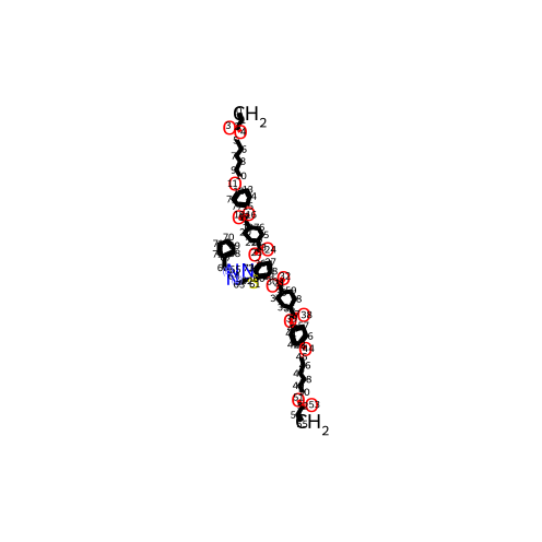 C=CC(=O)OCCCCCCOc1ccc(OC(=O)C2CCC(C(=O)Oc3ccc(OC(=O)C4CCC(C(=O)Oc5ccc(OCCCCCCOC(=O)C=C)cc5)CC4)c4sc(/C=N\N=C\c5ccccc5)nc34)CC2)cc1